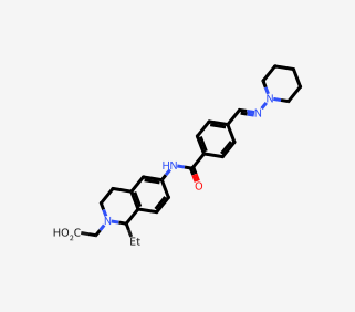 CCC1c2ccc(NC(=O)c3ccc(C=NN4CCCCC4)cc3)cc2CCN1CC(=O)O